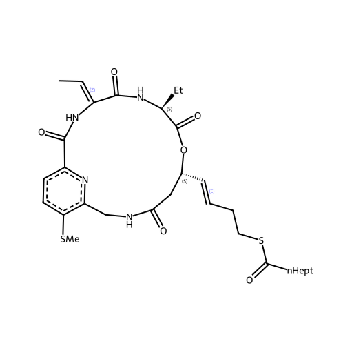 C/C=C1\NC(=O)c2ccc(SC)c(n2)CNC(=O)C[C@@H](/C=C/CCSC(=O)CCCCCCC)OC(=O)[C@H](CC)NC1=O